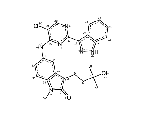 Cn1c(=O)n(CCC(C)(C)O)c2cc(Nc3nc(-c4n[nH]c5ccccc45)ncc3Cl)ccc21